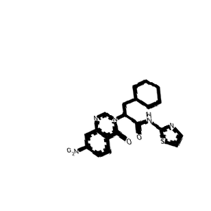 O=C(Nc1nccs1)C(CC1CCCCC1)n1cnc2cc([N+](=O)[O-])ccc2c1=O